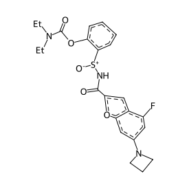 CCN(CC)C(=O)Oc1ccccc1[S+]([O-])NC(=O)c1cc2c(F)cc(N3CCC3)cc2o1